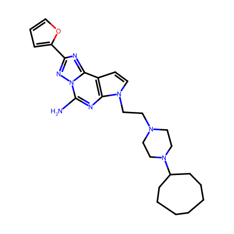 Nc1nc2c(ccn2CCN2CCN(C3CCCCCCC3)CC2)c2nc(-c3ccco3)nn12